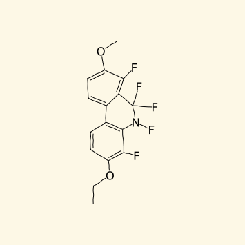 CCOc1ccc2c(c1F)N(F)C(F)(F)c1c-2ccc(OC)c1F